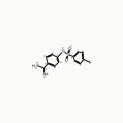 Cc1ccc(S(=O)(=O)Oc2ccc(C(=N)N)cc2)cc1